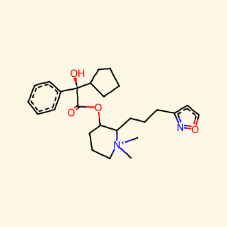 C[N+]1(C)CCCC(OC(=O)[C@](O)(c2ccccc2)C2CCCC2)C1CCCc1ccon1